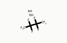 FC(F)(F)C(F)(F)C(F)(F)C(F)(F)F.[KH].[KH]